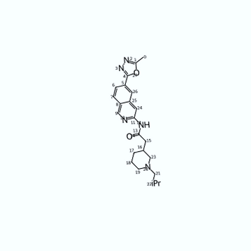 Cc1nnc(-c2ccc3cnc(NC(=O)CC4CCCN(CC(C)C)C4)cc3c2)o1